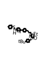 CCn1c(CCCc2ccc(-c3ccc(NSc4ccccc4)cn3)cc2)nn(Cc2ccc(C(C)(C)C)cc2)c1=O